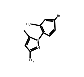 Cc1cc(C(F)(F)F)nn1-c1ccc(Br)cc1N